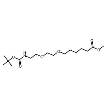 COC(=O)CCCCCOCCOCCNC(=O)OC(C)(C)C